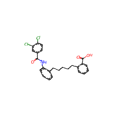 O=C(Nc1ccccc1CCCCCc1ccccc1C(=O)O)c1ccc(Cl)c(Cl)c1